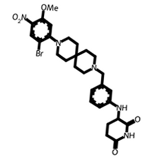 COc1cc(N2CCC3(CCN(Cc4cccc(NC5CCC(=O)NC5=O)c4)CC3)CC2)c(Br)cc1[N+](=O)[O-]